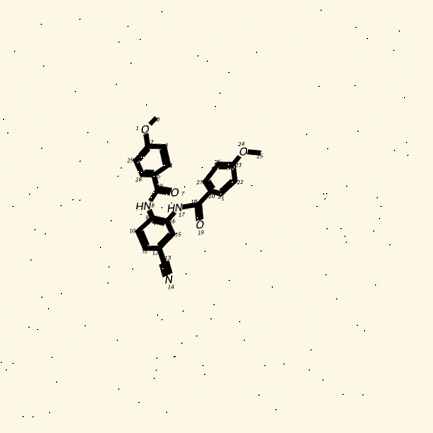 COc1ccc(C(=O)Nc2ccc(C#N)cc2NC(=O)c2ccc(OC)cc2)cc1